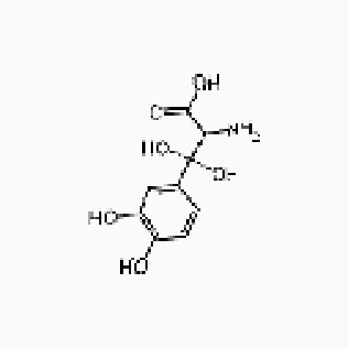 NC(C(=O)O)C(O)(O)c1ccc(O)c(O)c1